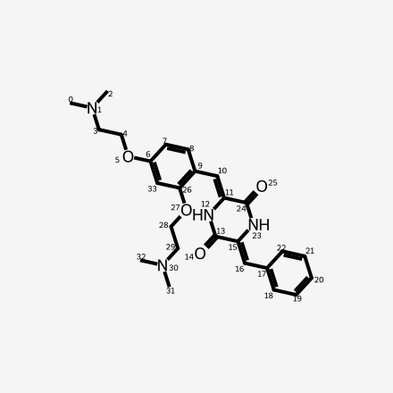 CN(C)CCOc1ccc(C=c2[nH]c(=O)c(=Cc3ccccc3)[nH]c2=O)c(OCCN(C)C)c1